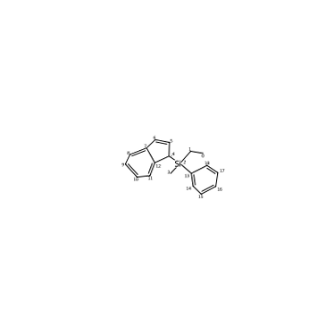 CC[Si](C)([C]1C=Cc2ccccc21)c1ccccc1